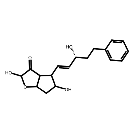 O=C1C(O)OC2CC(O)C(C=C[C@H](O)CCc3ccccc3)C12